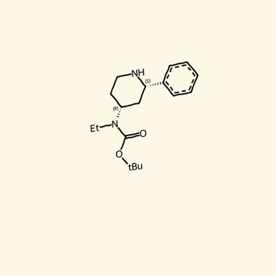 CCN(C(=O)OC(C)(C)C)[C@@H]1CCN[C@H](c2ccccc2)C1